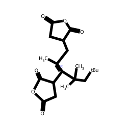 C/C(CC1CC(=O)OC1=O)=C(\C1CC(=O)OC1=O)C(C)(C)CC(C)(C)C